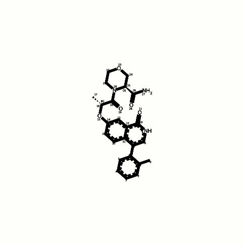 Cc1ccccc1-c1c[nH]c(=O)c2cc(O[C@H](C)C(=O)N3CCOC[C@H]3C(N)=O)ccc12